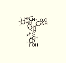 Cc1cnc(Nc2cc(C)c(C)c(C)c2)nc1Nc1cc(CN2CCNCC2)c2oc(=O)[nH]c2c1.O=C(O)C(F)(F)F.O=C(O)C(F)(F)F